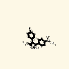 C[S+]([O-])c1ccc(-c2[nH]nc(C(F)(F)F)c2-c2ccc(F)cc2)cc1